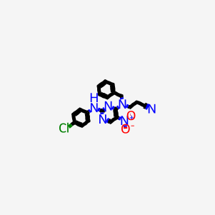 N#CCCN(Cc1ccccc1)c1nc(Nc2ccc(Cl)cc2)ncc1[N+](=O)[O-]